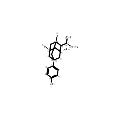 CCCCCC[C@H](O)C1[C@@H]2C[C@@H]3C[C@H]1C[C@@](c1ccc(O)cc1)(C3)C2